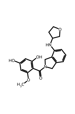 COc1cc(O)cc(O)c1C(=O)N1Cc2cccc(NC3CCOC3)c2C1